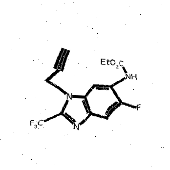 C#CCn1c(C(F)(F)F)nc2cc(F)c(NC(=O)OCC)cc21